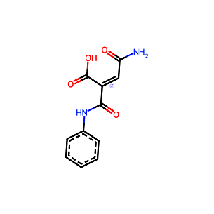 NC(=O)/C=C(\C(=O)O)C(=O)Nc1ccccc1